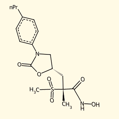 CCCc1ccc(N2C[C@H](C[C@](C)(C(=O)NO)S(C)(=O)=O)OC2=O)cc1